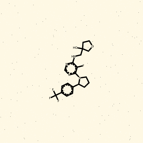 OC1(CNc2ncnc(N3CCCC3c3ccc(C(F)(F)F)cc3)c2F)CCOC1